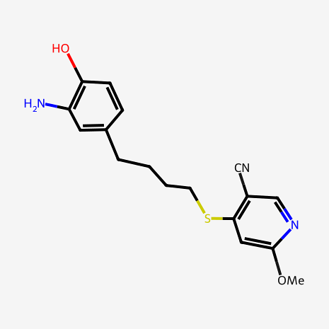 COc1cc(SCCCCc2ccc(O)c(N)c2)c(C#N)cn1